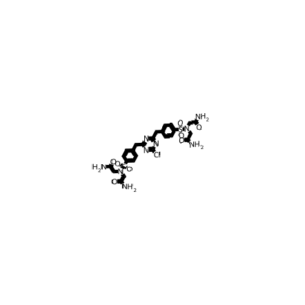 NC(=O)CN(CC(N)=O)S(=O)(=O)c1ccc(Cc2nc(Cl)nc(Cc3ccc(S(=O)(=O)N(CC(N)=O)CC(N)=O)cc3)n2)cc1